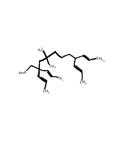 CC=CC(C=CC)CCCC(C)(C)CC(C=CC)(C=CC)CNC